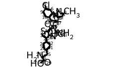 Cc1ccn(-c2cc(Cl)ccc2[C@@H](Oc2nc(N)nc3c(-c4ccc(C[C@H](N)C(=O)O)cc4)csc23)C(F)(F)F)n1.Cl